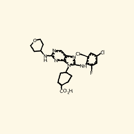 O=C(O)C1CCC(n2c(Nc3c(F)cc(Cl)cc3Cl)nc3cnc(NC4CCOCC4)nc32)CC1